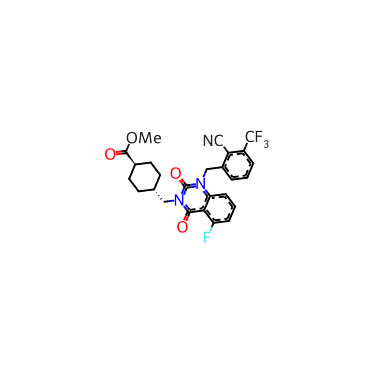 COC(=O)[C@H]1CC[C@H](Cn2c(=O)c3c(F)cccc3n(Cc3cccc(C(F)(F)F)c3C#N)c2=O)CC1